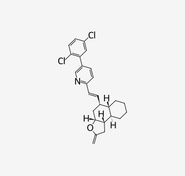 C=C1C[C@H]2[C@@H]3CCCC[C@H]3[C@H](/C=C/c3ccc(-c4cc(Cl)ccc4Cl)cn3)C[C@H]2O1